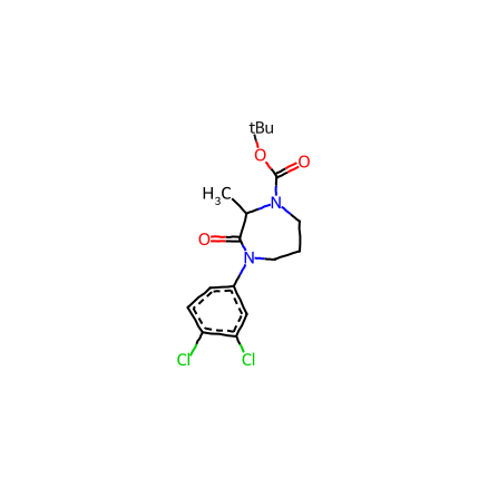 CC1C(=O)N(c2ccc(Cl)c(Cl)c2)CCCN1C(=O)OC(C)(C)C